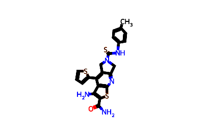 Cc1ccc(NC(=S)N2Cc3nc4sc(C(N)=O)c(N)c4c(-c4cccs4)c3C2)cc1